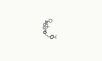 CC(C)c1ccc(CCCc2ccc(C(=O)CC(C)(C)CC(=O)N(C)C3CCCCC3)s2)cc1